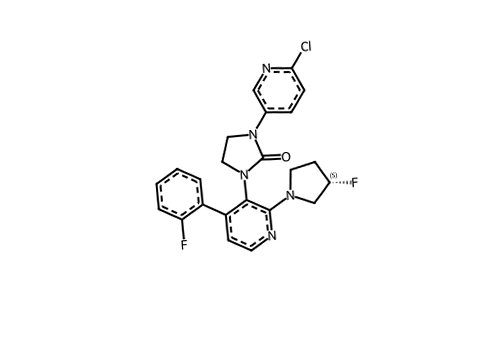 O=C1N(c2ccc(Cl)nc2)CCN1c1c(-c2ccccc2F)ccnc1N1CC[C@H](F)C1